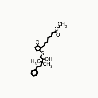 CCOC(=O)CCCCCCC1C(=O)CCC1SCC(O)C(C)(C)CCc1ccccc1